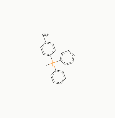 C[PH](c1ccccc1)(c1ccccc1)c1ccc(S(=O)(=O)O)cc1